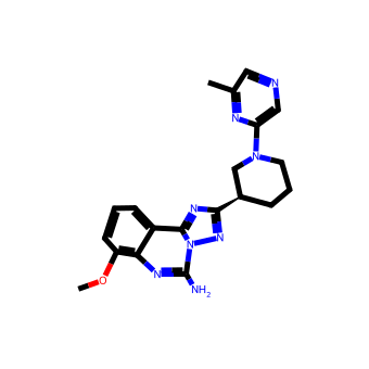 COc1cccc2c1nc(N)n1nc([C@@H]3CCCN(c4cncc(C)n4)C3)nc21